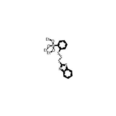 CCO[Si](OCC)(OCC)c1ccccc1SSSc1nc2ccccc2s1